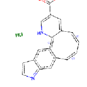 Cl.O=C(O)C1=CN/C2=c3\cc4c(cc3/C=C\C=C/C2=C1)=NC=C4